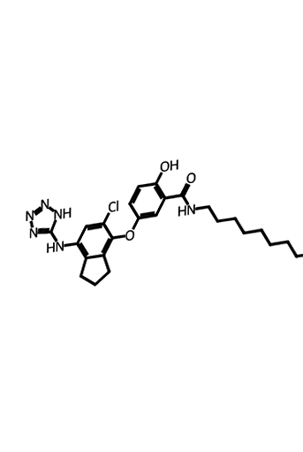 CCCCCCCCCNC(=O)c1cc(Oc2c(Cl)cc(Nc3nnn[nH]3)c3c2CCC3)ccc1O